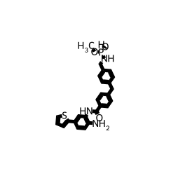 CO[PH](=O)NCc1ccc(Cc2ccc(C(=O)Nc3cc(-c4cccs4)ccc3N)cc2)cc1